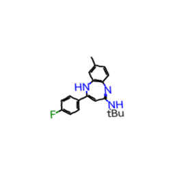 Cc1ccc2c(c1)NC(c1ccc(F)cc1)=CC(NC(C)(C)C)=N2